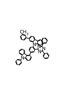 Cc1cccc(-c2ccc3c4ccccc4n(-c4ccc(-c5cccc6c5c5ccccc5n6-c5ccccc5)cc4-c4nc(-c5ccccc5)nc(-c5ccccc5)n4)c3c2)c1